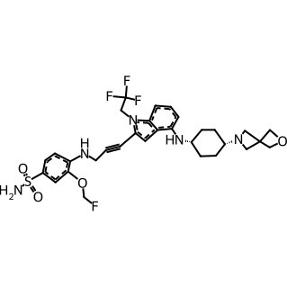 NS(=O)(=O)c1ccc(NCC#Cc2cc3c(N[C@H]4CC[C@@H](N5CC6(COC6)C5)CC4)cccc3n2CC(F)(F)F)c(OCF)c1